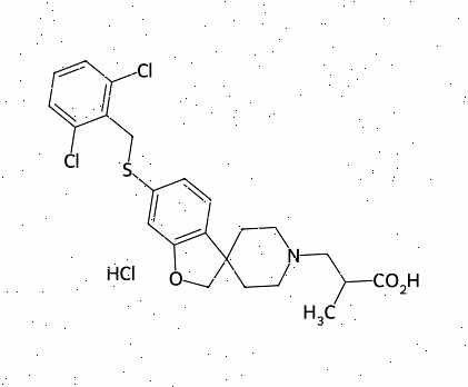 CC(CN1CCC2(CC1)COc1cc(SCc3c(Cl)cccc3Cl)ccc12)C(=O)O.Cl